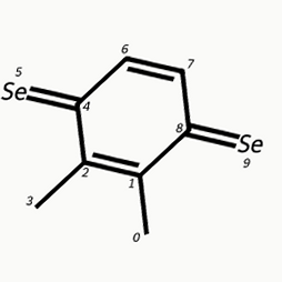 CC1=C(C)C(=[Se])C=CC1=[Se]